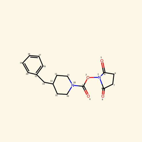 O=C(ON1C(=O)CCC1=O)N1CCC(Cc2ccccc2)CC1